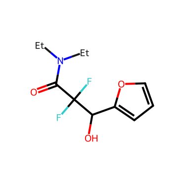 CCN(CC)C(=O)C(F)(F)C(O)c1ccco1